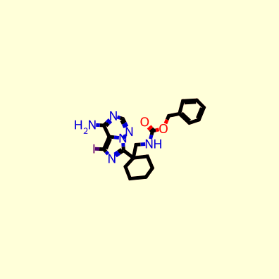 Nc1ncnn2c(C3(CNC(=O)OCc4ccccc4)CCCCC3)nc(I)c12